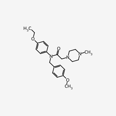 CCOc1ccc(N(Cc2ccc(OC)cc2)C(=O)CN2CCN(C)CC2)cc1